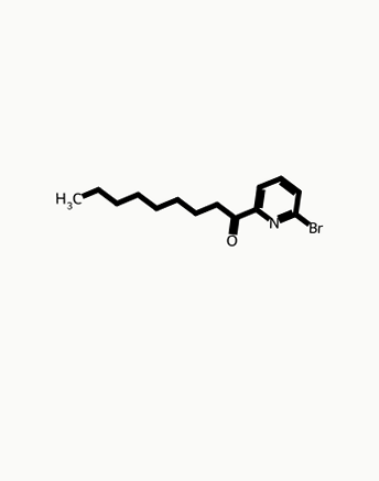 CCCCCCCCC(=O)c1cccc(Br)n1